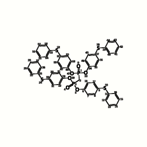 O=P(CP(=O)(Oc1ccc(Sc2ccccc2)cc1)Oc1ccc(Sc2ccccc2)cc1)(Oc1ccc(Sc2ccccc2)cc1)Oc1ccc(Sc2ccccc2)cc1